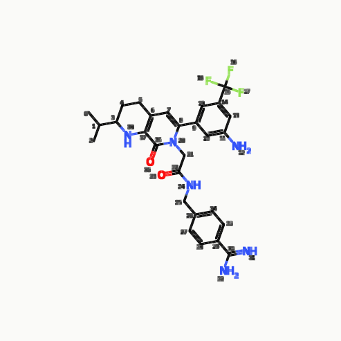 CC(C)C1CCc2cc(-c3cc(N)cc(C(F)(F)F)c3)n(CC(=O)NCc3ccc(C(=N)N)cc3)c(=O)c2N1